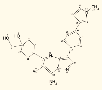 CC(=O)c1c(C2CCC(O)(CO)CC2)nc2c(-c3ccc(-c4cnn(C)c4)nc3)cnn2c1N